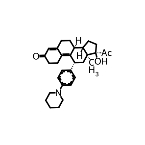 CC(=O)[C@@]1(O)CC[C@H]2[C@@H]3CCC4=CC(=O)CCC4=C3[C@@H](c3ccc(N4CCCCC4)cc3)C[C@@]21C